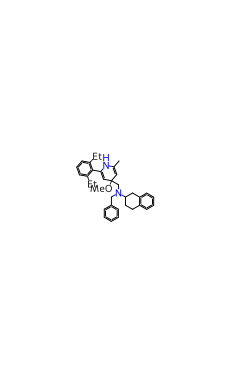 CCc1cccc(CC)c1C1=CC(CN(Cc2ccccc2)C2CCc3ccccc3C2)(OC)C=C(C)N1